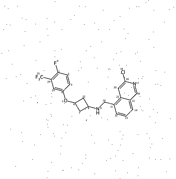 Fc1ccc(OC2CC(NCc3cccc4cnc(Cl)cc34)C2)cc1C(F)(F)F